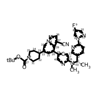 C[C@@H](c1ccc(-n2cc(F)cn2)nc1)N(C)c1ccc(-c2cc(C3CCN(C(=O)OC(C)(C)C)CC3)cn3ncc(C#N)c23)cn1